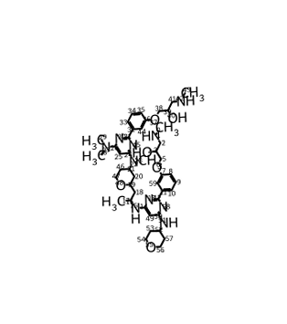 CNCC(O)COc1cccc(-c2nc(NC(C)CC3CC(N(C)c4cc(N(C)C)nc(-c5cccc(OCC(O)CNC)c5)n4)CCO3)cc(NC3CCOCC3)n2)c1